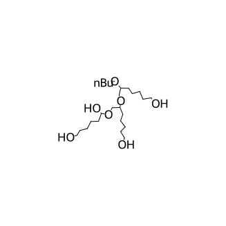 CCCCOC(CCCCCO)COC(CCCCCO)COC(O)CCCCCO